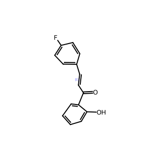 O=C(/C=C/c1ccc(F)cc1)c1ccccc1O